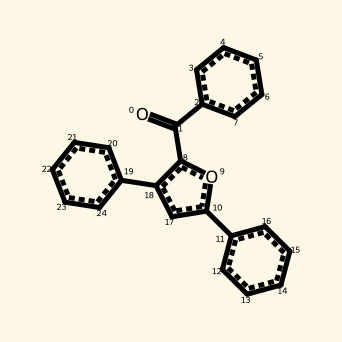 O=C(c1ccccc1)c1oc(-c2ccccc2)cc1-c1ccccc1